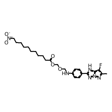 Cc1nn2nc(-c3ccc(NCOCOC(=O)CCCCCCCCCC[N+](=O)[O-])cc3)[nH]c2c1F